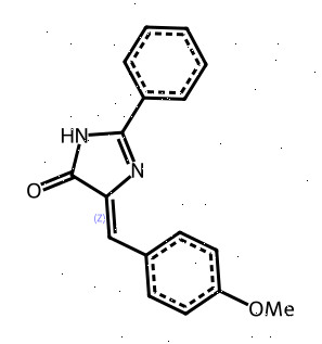 COc1ccc(/C=C2\N=C(c3ccccc3)NC2=O)cc1